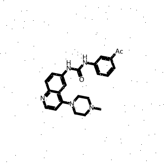 CC(=O)c1cccc(NC(=O)Nc2ccc3nccc(N4CCN(C)CC4)c3c2)c1